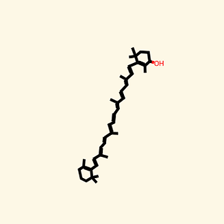 CC1=C(/C=C/C(C)=C/C=C/C(C)=C/C=C/C=C(C)/C=C/C=C(C)/C=C/C2=C(C)C(O)CCC2(C)C)C(C)(C)CCC1